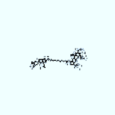 CN(C)c1ccc(OC(=O)CCCCCCCCCOC(=O)c2cn(C3C[C@@H]3F)c3c(Cl)c(N4C[C@@H](N)C5(CC5)C4)c(F)cc3c2=O)c2c1C[C@@H]1C[C@@H]3[C@@H](N(C)C)C(O)=C(C(N)=O)C(=O)[C@]3(O)C(O)=C1C2=O